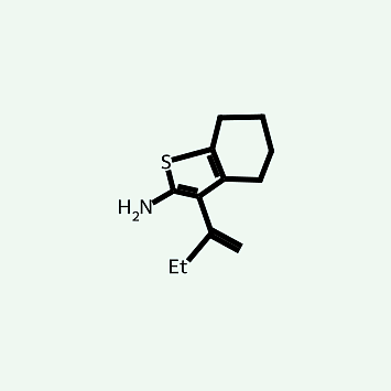 C=C(CC)c1c(N)sc2c1CCCC2